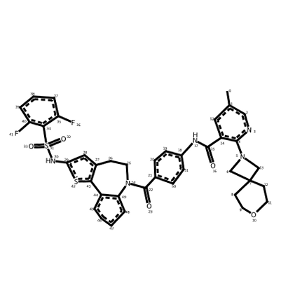 Cc1cnc(N2CC3(CCOCC3)C2)c(C(=O)Nc2ccc(C(=O)N3CCc4cc(NS(=O)(=O)c5c(F)cccc5F)sc4-c4ccccc43)cc2)c1